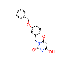 O=c1cc(O)[nH]c(=O)n1Cc1cccc(OCc2ccccc2)c1